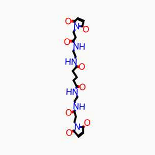 O=C(CCCC(=O)NCCNC(=O)CCN1C(=O)C=CC1=O)NCCNC(=O)CCN1C(=O)C=CC1=O